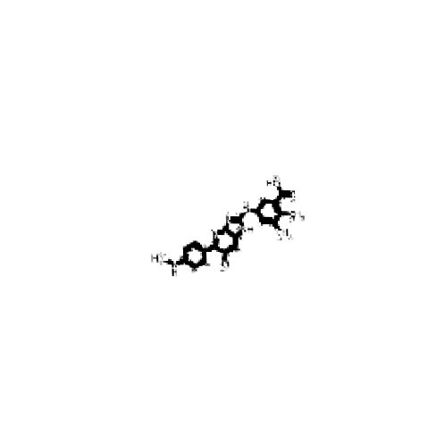 CNc1ccc(C2=NC3N=C(OC4C=C(C)C(C)=C(C(=O)O)C4)NC3C=C2Cl)cc1